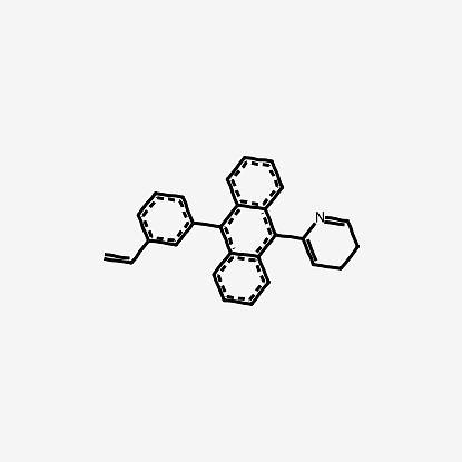 C=Cc1cccc(-c2c3ccccc3c(C3=CCCC=N3)c3ccccc23)c1